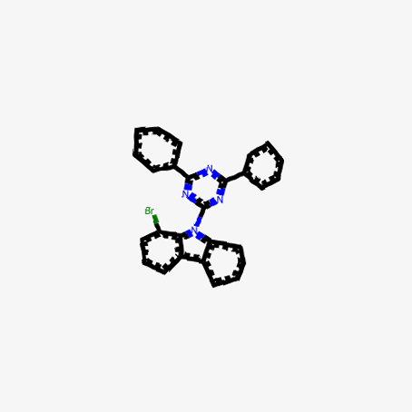 Brc1cccc2c3ccccc3n(-c3nc(-c4ccccc4)nc(-c4ccccc4)n3)c12